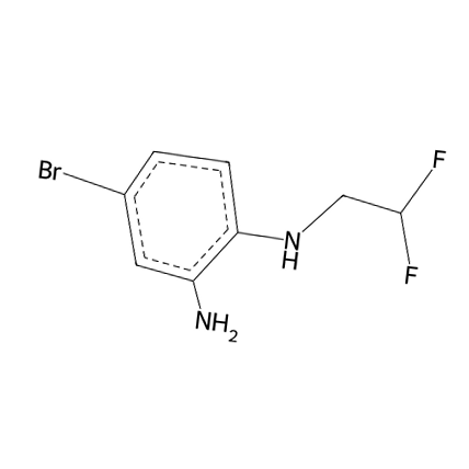 Nc1cc(Br)ccc1NCC(F)F